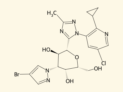 Cc1nc([C@@H]2O[C@H](CO)[C@H](O)[C@H](n3cc(Br)cn3)[C@H]2O)n(-c2cc(Cl)cnc2C2CC2)n1